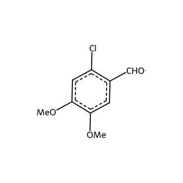 COc1cc(Cl)c([C]=O)cc1OC